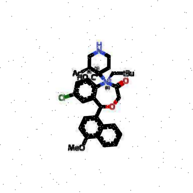 COc1ccc(C2OCC(=O)[N@@+](CC(C)(C)C)([C@@]3(C(=O)O)CCNC[C@@H]3C(C)=O)c3ccc(Cl)cc32)c2ccccc12